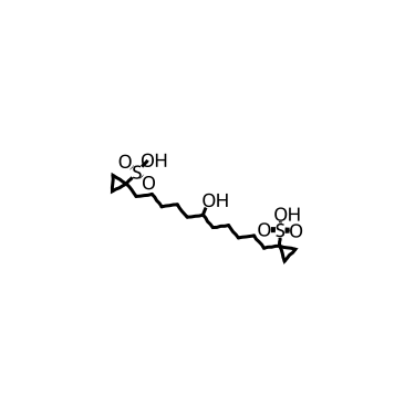 O=S(=O)(O)C1(CCCCCC(O)CCCCCC2(S(=O)(=O)O)CC2)CC1